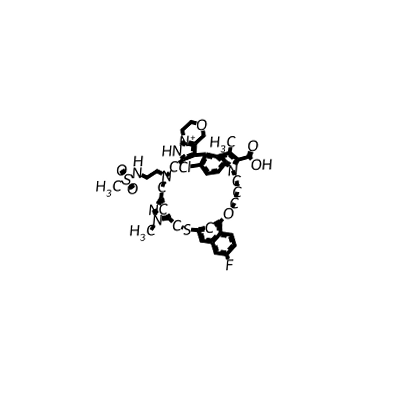 Cc1c(C(=O)O)n2c3ccc(Cl)c(c13)-c1c([nH][n+]3c1COCC3)CN(CCNS(C)(=O)=O)Cc1cc(n(C)n1)CSc1cc(c3ccc(F)cc3c1)OCCC2